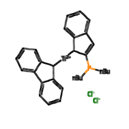 CCCCP(CCCC)C1=Cc2ccccc2[CH]1[Ti+2][CH]1c2ccccc2-c2ccccc21.[Cl-].[Cl-]